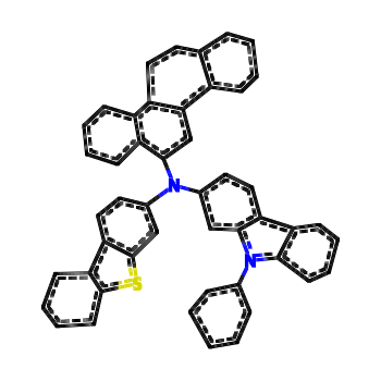 c1ccc(-n2c3ccccc3c3ccc(N(c4ccc5c(c4)sc4ccccc45)c4cc5c6ccccc6ccc5c5ccccc45)cc32)cc1